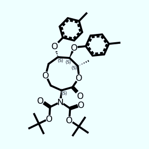 Cc1ccc(O[C@H]2[C@H](C)OC(=O)[C@@H](N(C(=O)OC(C)(C)C)C(=O)OC(C)(C)C)COC[C@@H]2Oc2ccc(C)cc2)cc1